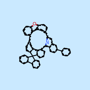 c1ccc(-c2ccc3c(c2)cc2nc3c3cccc4c3c3cc(ccc3C43c4ccccc4-c4ccccc43)c3cccc4oc5ccc2cc5c43)cc1